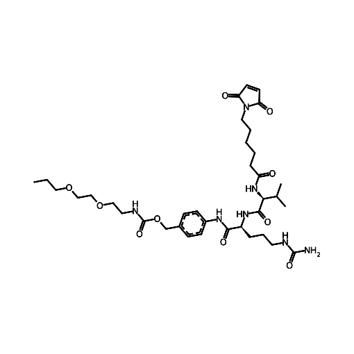 CCCOCCOCCNC(=O)OCc1ccc(NC(=O)[C@H](CCCNC(N)=O)NC(=O)[C@@H](NC(=O)CCCCCN2C(=O)C=CC2=O)C(C)C)cc1